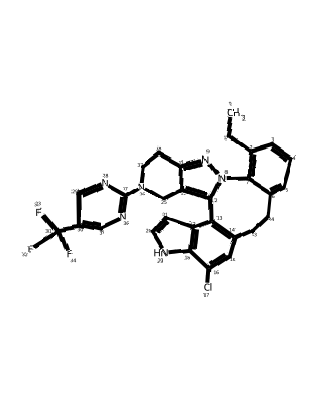 CCc1cccc2c1-n1nc3c(c1-c1c(cc(Cl)c4[nH]ccc14)CC2)CN(c1ncc(C(F)(F)F)cn1)CC3